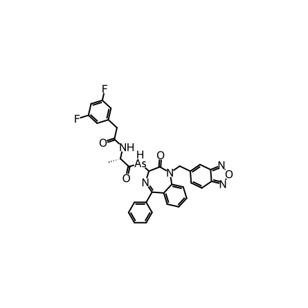 C[C@H](NC(=O)Cc1cc(F)cc(F)c1)C(=O)[AsH]C1N=C(c2ccccc2)c2ccccc2N(Cc2ccc3nonc3c2)C1=O